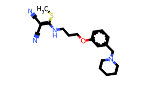 CSC(NCCCOc1cccc(CN2CCCCC2)c1)=C(C#N)C#N